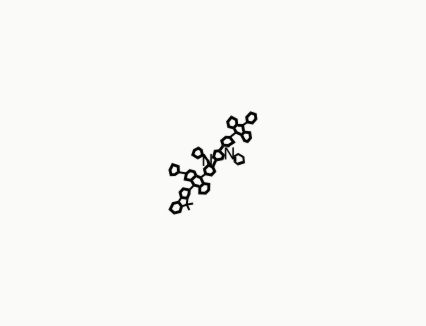 CC1(C)c2ccccc2-c2ccc(-c3c4ccccc4c(-c4ccc5c6cc7c(cc6n(-c6ccccc6)c5c4)c4ccc(-c5c6ccccc6c(-c6ccccc6)c6ccccc56)cc4n7C4=CC=CCC4)c4ccc(-c5ccccc5)cc34)cc21